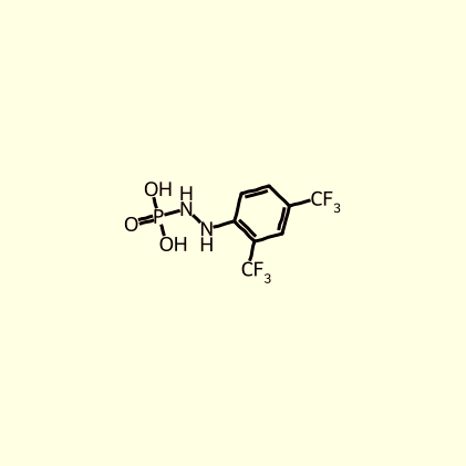 O=P(O)(O)NNc1ccc(C(F)(F)F)cc1C(F)(F)F